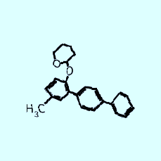 Cc1ccc(OC2CCCCO2)c(-c2ccc(-c3ccccc3)cc2)c1